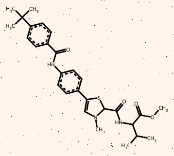 COC(=O)C(NC(=O)C1SC(c2ccc(NC(=O)c3ccc(C(C)(C)C)cc3)cc2)=CN1C)C(C)C